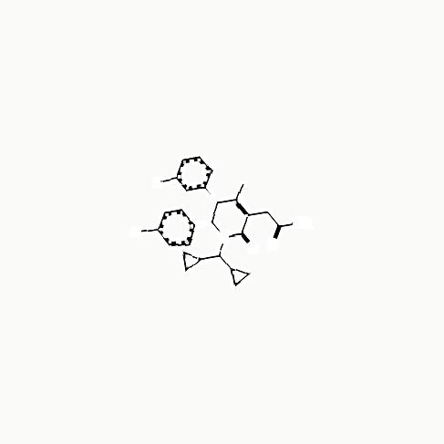 CC1=C(CC(=O)O)C(=O)N(C(C2CC2)C2CC2)[C@H](c2ccc(Cl)cc2)[C@H]1c1cccc(Cl)c1